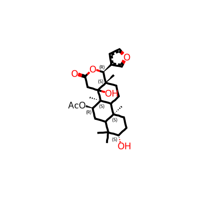 CC(=O)O[C@@H]1CC2C(C)(C)[C@@H](O)CC[C@]2(C)C2CC[C@@]3(C)[C@H](c4ccoc4)OC(=O)CC3(O)[C@@]21C